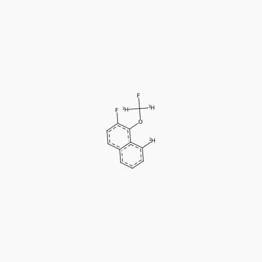 [2H]c1cccc2ccc(F)c(OC([2H])([2H])F)c12